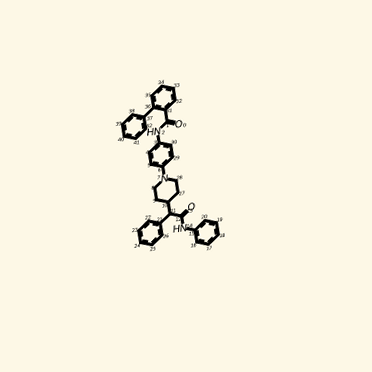 O=C(Nc1ccc(N2CCC(C(C(=O)Nc3ccccc3)c3ccccc3)CC2)cc1)c1ccccc1-c1ccccc1